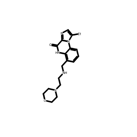 CCc1cnc2c(=O)[nH]c3c(CNCCN4CCOCC4)cccc3n12